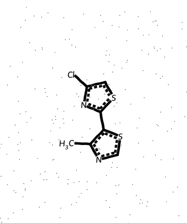 Cc1ncsc1-c1nc(Cl)cs1